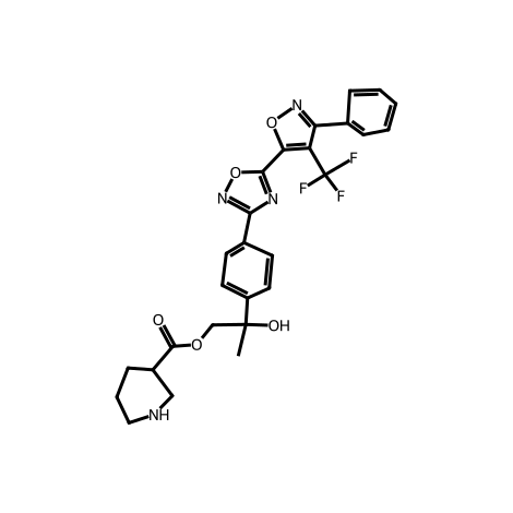 CC(O)(COC(=O)C1CCCNC1)c1ccc(-c2noc(-c3onc(-c4ccccc4)c3C(F)(F)F)n2)cc1